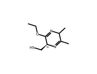 CCOC1=NC(C)C(C)=N[C@H]1CS